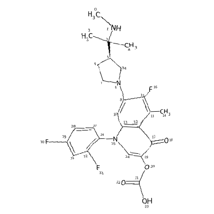 CNC(C)(C)[C@@H]1CCN(c2cc3c(c(C)c2F)c(=O)c(OC(=O)O)cn3-c2ccc(F)cc2F)C1